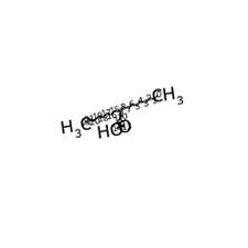 CCCCCCCCCC(=CCC(=O)O)CCCCCCCC